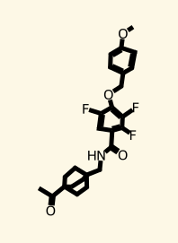 COc1ccc(COc2c(F)cc(C(=O)NCC34CCC(C(C)=O)(CC3)CC4)c(F)c2F)cc1